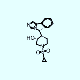 O=S(=O)(C1CC1)N1CC[C@H]([C@H]2c3ccccc3-c3cncn32)[C@@H](O)C1